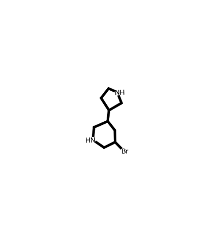 BrC1CNCC(C2CCNC2)C1